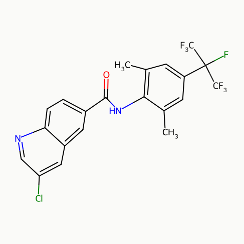 Cc1cc(C(F)(C(F)(F)F)C(F)(F)F)cc(C)c1NC(=O)c1ccc2ncc(Cl)cc2c1